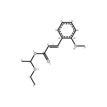 CCOC(C)OC(=O)/C=C/c1ccccc1OC